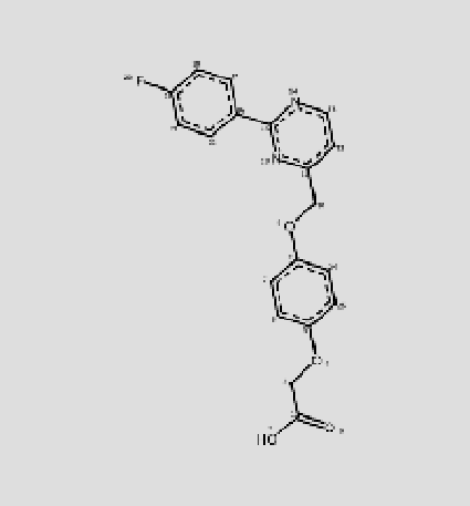 O=C(O)COc1ccc(OCc2ccnc(-c3ccc(F)cc3)n2)cc1